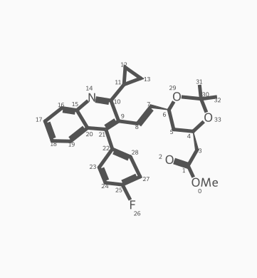 COC(=O)C[C@H]1C[C@@H](/C=C/c2c(C3CC3)nc3ccccc3c2-c2ccc(F)cc2)OC(C)(C)O1